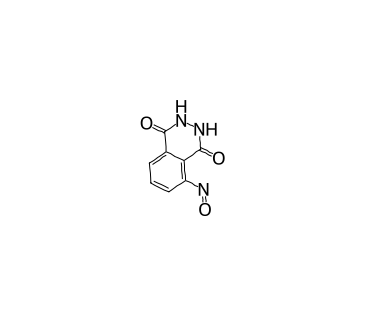 O=Nc1cccc2c(=O)[nH][nH]c(=O)c12